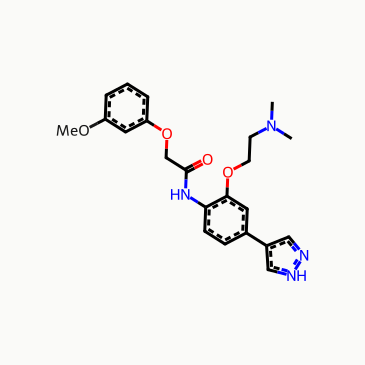 COc1cccc(OCC(=O)Nc2ccc(-c3cn[nH]c3)cc2OCCN(C)C)c1